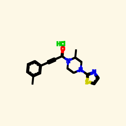 Cc1cccc(C#CC(=O)N2CCN(c3nccs3)CC2C)c1.Cl